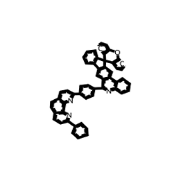 c1ccc(-c2ccc3ccc4ccc(-c5ccc(-c6nc7ccccc7c7cc8c(cc67)-c6ccccc6C86c7ccccc7Oc7ccccc76)cc5)nc4c3n2)cc1